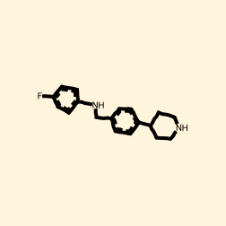 Fc1ccc(NCc2ccc(C3CCNCC3)cc2)cc1